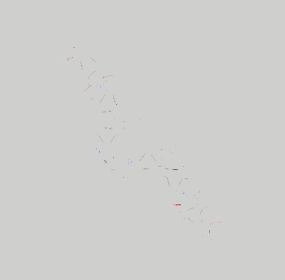 Cc1cc(C(c2ccc(N3C(=O)c4ccc(C(=O)C(C)C)cc4C3=O)c(C)c2)C(F)(F)F)ccc1NC(C)CCC(C)Nc1ccc(C(c2ccc(N3C(=O)c4ccc(C(=O)C(C)C)cc4C3=O)cc2)C(F)(F)F)cc1